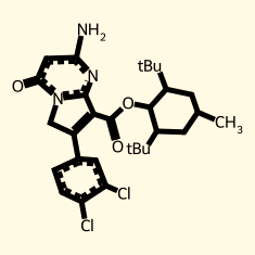 CC1CC(C(C)(C)C)C(OC(=O)C2=C(c3ccc(Cl)c(Cl)c3)Cn3c2nc(N)cc3=O)C(C(C)(C)C)C1